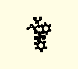 COC(=O)C(c1ccccc1OS(=O)(=O)c1ccccc1)C(C)C